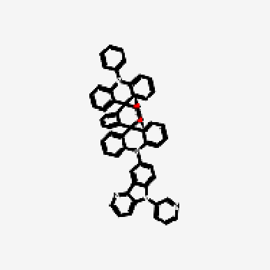 c1ccc(N2c3ccccc3C3(c4ccccc42)c2ccccc2C2(c4ccccc4N(c4ccc5c(c4)c4ncccc4n5-c4cccnc4)c4ccccc42)c2ccccc23)cc1